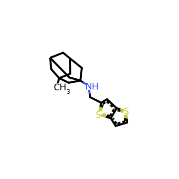 CC12CC3CC(C1)CC(NCc1cc4sccc4s1)(C3)C2